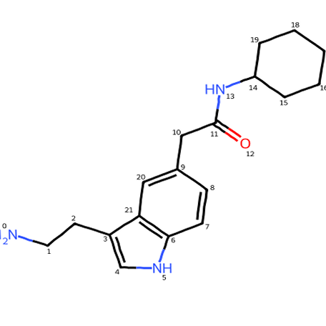 NCCc1c[nH]c2ccc(CC(=O)NC3CCCCC3)cc12